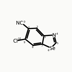 N#Cc1cc2nc[se]c2cc1Cl